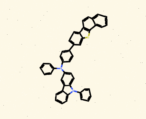 c1ccc(N(c2ccc(-c3ccc4c(c3)sc3c5ccccc5ccc43)cc2)c2ccc3c(c2)c2ccccc2n3-c2ccccc2)cc1